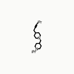 CC(C)C#CCC1CCN(CC2CCN(C(C)C)CC2)CC1